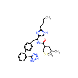 CCCCc1nc(C(Cc2ccc(-c3ccccc3-c3nnn[nH]3)cc2)NC(=O)C(CS)CC(C)C)c[nH]1